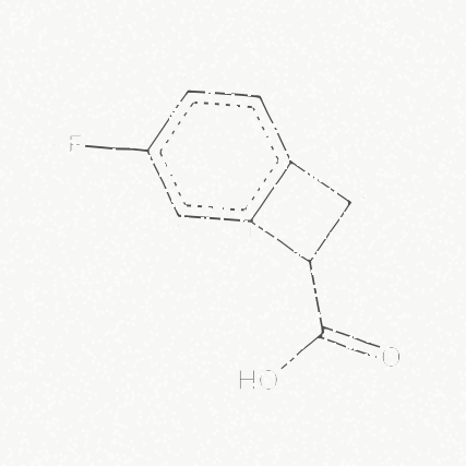 O=C(O)C1Cc2ccc(F)cc21